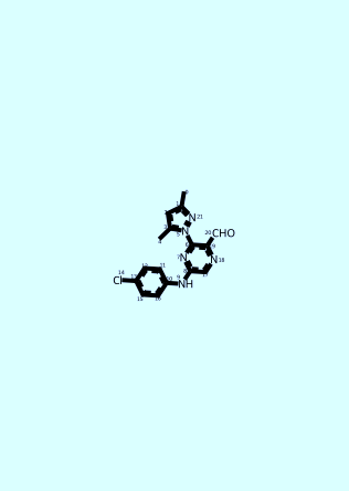 Cc1cc(C)n(-c2nc(Nc3ccc(Cl)cc3)cnc2C=O)n1